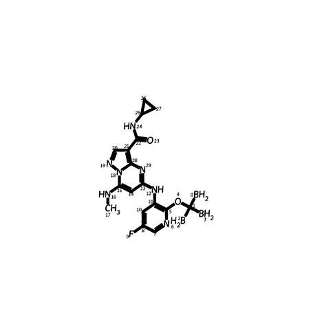 BC(B)(B)Oc1ncc(F)cc1Nc1cc(NC)n2ncc(C(=O)NC3CC3)c2n1